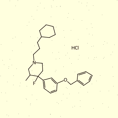 CC1CN(CCCC2CCCCC2)CCC1(F)c1cccc(OCc2ccccc2)c1.Cl